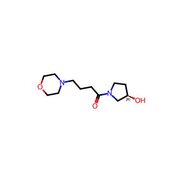 O=C(CCCN1CCOCC1)N1CC[C@@H](O)C1